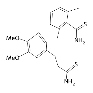 COc1ccc(CCC(N)=S)cc1OC.Cc1cccc(C)c1C(N)=S